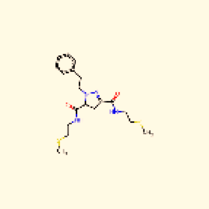 CSCCNC(=O)C1=NN(CCc2ccccc2)C(C(=O)NCCSC)C1